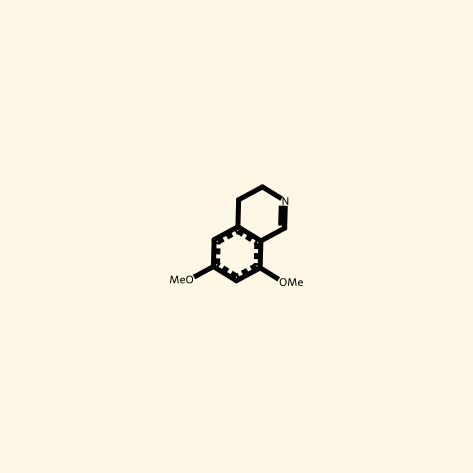 COc1cc2c(c(OC)c1)C=NCC2